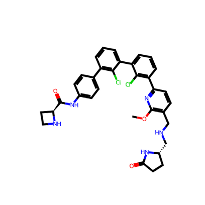 COc1nc(-c2cccc(-c3cccc(-c4ccc(NC(=O)[C@@H]5CCN5)cc4)c3Cl)c2Cl)ccc1CNC[C@@H]1CCC(=O)N1